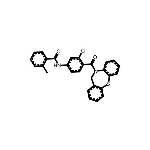 Cc1ccccc1C(=O)Nc1ccc(C(=O)N2Cc3ccccc3Sc3ccccc32)c(Cl)c1